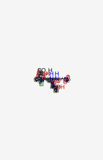 O=C(CCCCCN1C(=O)C=CC1=O)NCCC(=O)Nc1cc(/C=C/C(=O)N2C[C@@H](CCl)c3c2cc(O[C@H]2C[C@@H](O)C[C@@H](C(=O)O)O2)c2ccccc32)ccc1/C=C/C(=O)N1CCc2c1cc(O)c1ccccc21